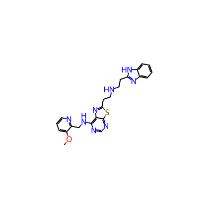 COc1cccnc1CNc1ncnc2sc(CCNCCc3nc4ccccc4[nH]3)nc12